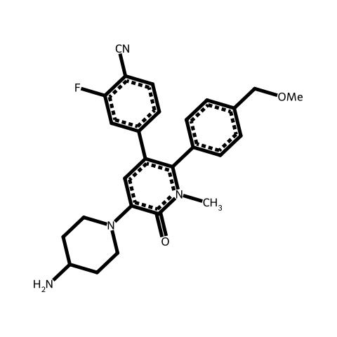 COCc1ccc(-c2c(-c3ccc(C#N)c(F)c3)cc(N3CCC(N)CC3)c(=O)n2C)cc1